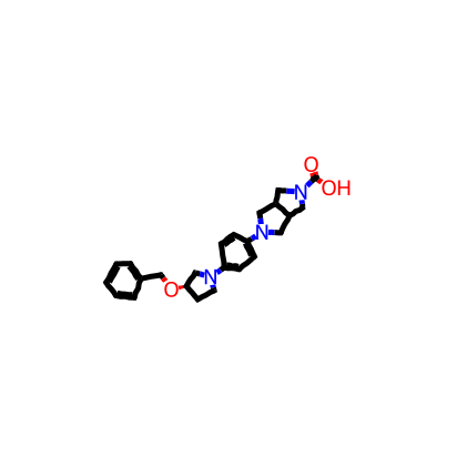 O=C(O)N1CC2CN(c3ccc(N4CC[C@@H](OCc5ccccc5)C4)cc3)CC2C1